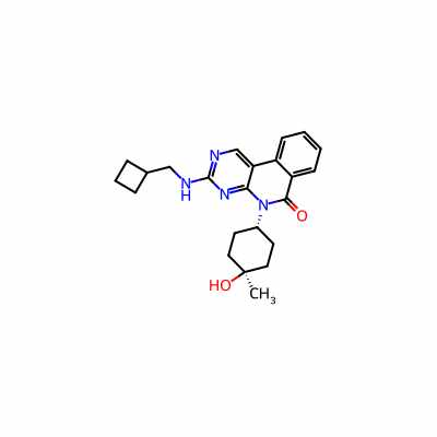 C[C@]1(O)CC[C@H](n2c(=O)c3ccccc3c3cnc(NCC4CCC4)nc32)CC1